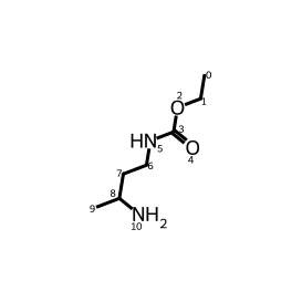 CCOC(=O)NCCC(C)N